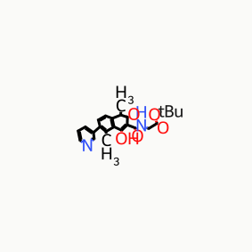 Cc1c(-c2cccnc2)ccc2c1C(O)=C(C(=O)NCC(=O)OC(C)(C)C)C(=O)C2C